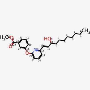 CCCCCCCCC(O)/C=C/c1cccc(Oc2cccc(C(=O)OC)c2)n1